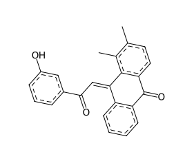 Cc1ccc2c(c1C)C(=CC(=O)c1cccc(O)c1)c1ccccc1C2=O